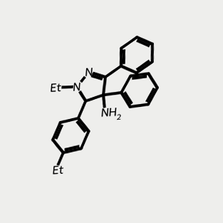 CCc1ccc(C2N(CC)N=C(c3ccccc3)C2(N)c2ccccc2)cc1